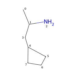 CC(N)CC1CCC1